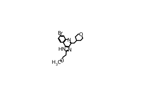 COCCc1nc2c(CC3CCOCC3)nc3cc(Br)ccc3c2[nH]1